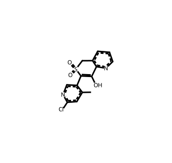 Cc1cc(Cl)ncc1C1=C(O)c2ncccc2CS1(=O)=O